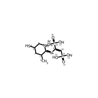 CC1CC(S)CNC1=NC(=CP(=O)(O)O)P(=O)(O)O